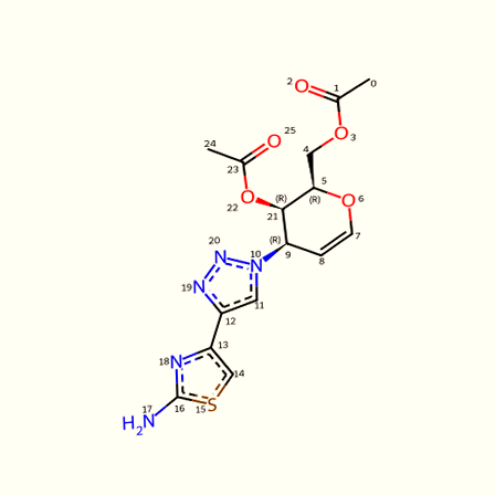 CC(=O)OC[C@H]1OC=C[C@@H](n2cc(-c3csc(N)n3)nn2)[C@H]1OC(C)=O